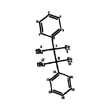 CCC(c1ccccc1)(C(C)(C)C)C(CC)(c1ccccc1)C(C)(C)C